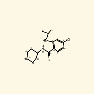 CC(C)Nc1cc(Cl)ncc1C(=O)NC1CCNCC1